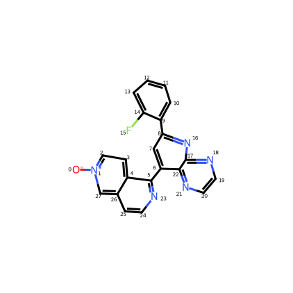 [O-][n+]1ccc2c(-c3cc(-c4ccccc4F)nc4nccnc34)nccc2c1